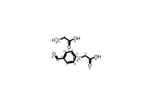 CCC(=O)O.CCC(=O)O.O=Cc1ccccc1